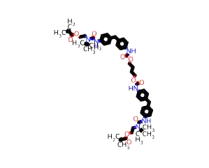 C=C(C)C(=O)OCCN(C(=O)Nc1ccc(Cc2ccc(NC(=O)OCCCCOC(=O)Nc3ccc(Cc4ccc(NC(=O)N(CCOC(=O)C(=C)C)C(C)(C)C)cc4)cc3)cc2)cc1)C(C)(C)C